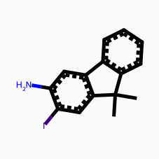 CC1(C)c2ccccc2-c2cc(N)c(I)cc21